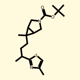 Cc1csc(C(C)CCC2(C)C3CN(C(=O)OC(C)(C)C)CC32)n1